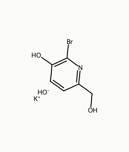 OCc1ccc(O)c(Br)n1.[K+].[OH-]